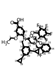 CCOc1cc(C(=O)O)ccc1N(Cc1cc(C2CC2)cc(C2CC2)c1)C(=O)CN(Cc1ccccc1F)S(=O)(=O)c1c(F)c(F)c(F)c(F)c1Cl